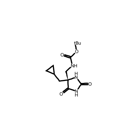 CC(C)(C)OC(=O)NC[C@@]1(CC2CC2)NC(=O)NC1=O